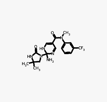 CN(C(=O)C1=CNC(N)(N2CC(C)(C)NC2=O)N=C1)c1cccc(C(F)(F)F)c1